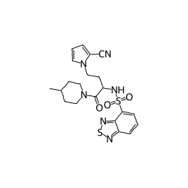 CC1CCN(C(=O)C(CCn2cccc2C#N)NS(=O)(=O)c2cccc3nsnc23)CC1